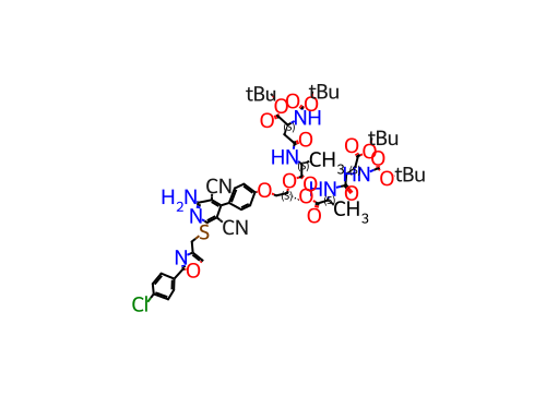 C[C@H](NC(=O)C[C@H](NC(=O)OC(C)(C)C)C(=O)OC(C)(C)C)C(=O)OC[C@H](COc1ccc(-c2c(C#N)c(N)nc(SCc3coc(-c4ccc(Cl)cc4)n3)c2C#N)cc1)OC(=O)[C@H](C)NC(=O)C[C@H](NC(=O)OC(C)(C)C)C(=O)OC(C)(C)C